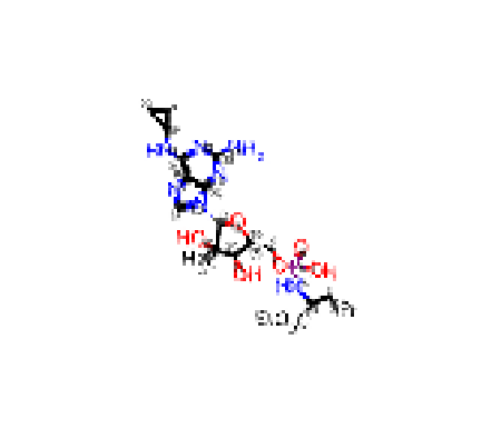 CCOC(=O)[C@H](CC(C)C)NP(=O)(O)OC[C@H]1O[C@@H](n2cnc3c(NC4CC4)nc(N)nc32)[C@@](C)(O)C1O